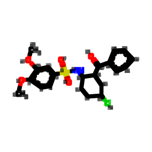 COc1ccc(S(=O)(=O)NC2CCC(Cl)CC2C(=O)c2ccccc2)cc1OC